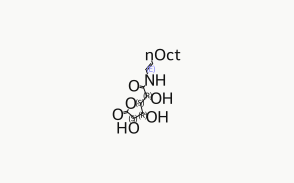 CCCCCCCC/C=C/NC(=O)[C@H](O)[C@H]1OC(=O)[C@@H](O)[C@H]1O